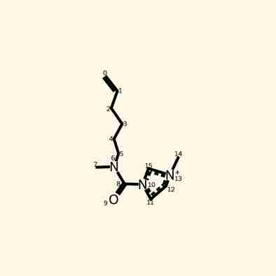 C=CCCCCN(C)C(=O)n1cc[n+](C)c1